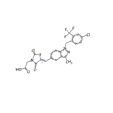 Cc1nn(Cc2ccc(Cl)cc2C(F)(F)F)c2ccc(/C=C3\SC(=O)N(CC(=O)O)C3=O)cc12